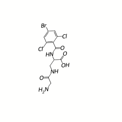 NCC(=O)NCC(NC(=O)c1c(Cl)cc(Br)cc1Cl)C(=O)O